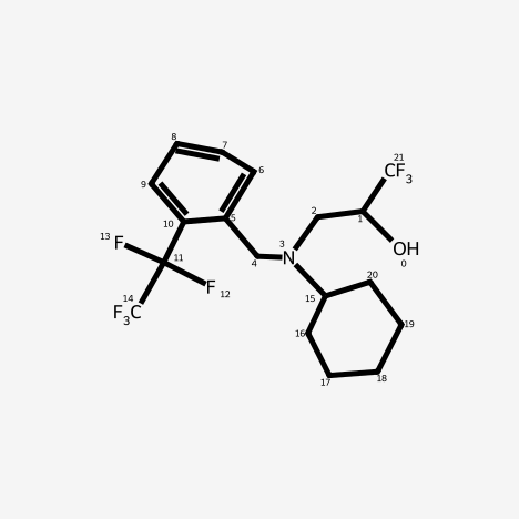 OC(CN(Cc1ccccc1C(F)(F)C(F)(F)F)C1CCCCC1)C(F)(F)F